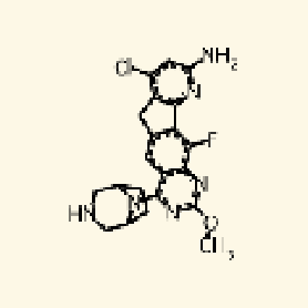 COc1nc(N2C3CCC2CNC3)c2cc3c(c(F)c2n1)-c1nc(N)cc(Cl)c1C3